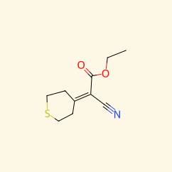 CCOC(=O)C(C#N)=C1CCSCC1